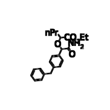 CCCC(OC(C(N)=O)c1ccc(Cc2ccccc2)cc1)C(=O)OCC